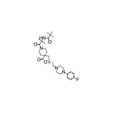 CC(C)(C)C(=O)NC(C)(C)C(=O)N1CCC2(CC1)C[C@H](CCN1CCN(c3ccc(F)cc3)CC1)OC2=O